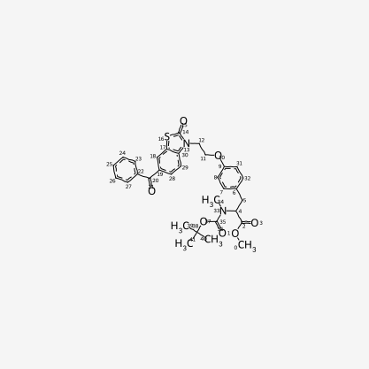 COC(=O)C(Cc1ccc(OCCn2c(=O)sc3cc(C(=O)c4ccccc4)ccc32)cc1)N(C)C(=O)OC(C)(C)C